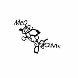 C=C(CC1(O)C(=O)N(CN2C(=O)C(O)(CC(=C)C(=O)OC)c3ccccc32)c2ccccc21)C(=O)OC